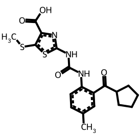 CSc1sc(NC(=O)Nc2ccc(C)cc2C(=O)C2CCCC2)nc1C(=O)O